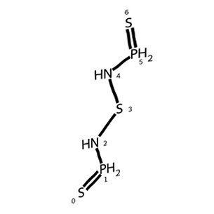 S=[PH2]NSN[PH2]=S